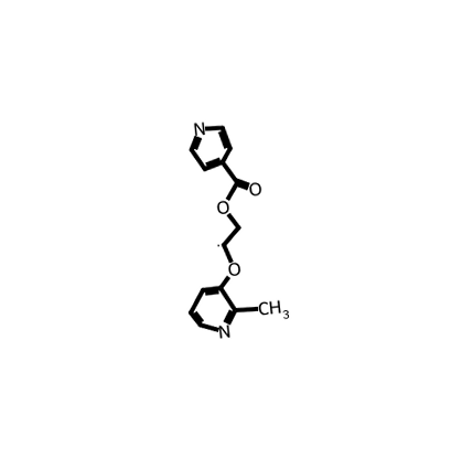 Cc1ncccc1O[CH]COC(=O)c1ccncc1